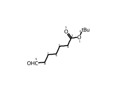 CC(C)(C)OC(=O)CCCCCC=O